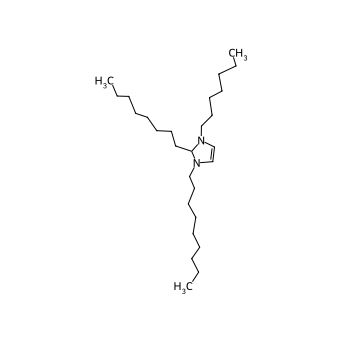 CCCCCCCCCN1C=CN(CCCCCCC)C1CCCCCCCC